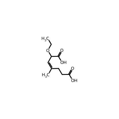 CCOC(C=C(C)CCC(=O)O)C(=O)O